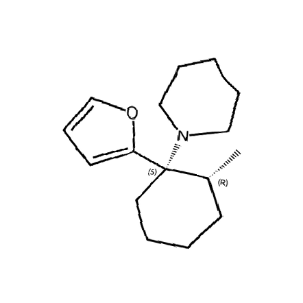 C[C@@H]1CCCC[C@]1(c1ccco1)N1CCCCC1